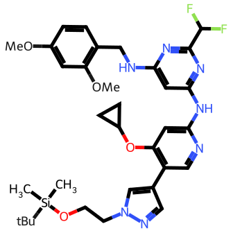 COc1ccc(CNc2cc(Nc3cc(OC4CC4)c(-c4cnn(CCO[Si](C)(C)C(C)(C)C)c4)cn3)nc(C(F)F)n2)c(OC)c1